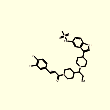 CS(=O)(=O)Nc1ccc2[nH]cc(C3CCN(C(CO)C4CCN(C(=O)/C=C/c5ccc(Cl)c(Cl)c5)CC4)CC3)c2c1